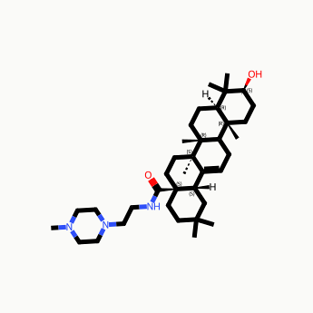 CN1CCN(CCNC(=O)[C@]23CCC(C)(C)C[C@H]2C2=CCC4[C@@]5(C)CC[C@H](O)C(C)(C)[C@@H]5CC[C@@]4(C)[C@]2(C)CC3)CC1